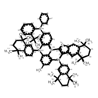 Cc1cc2c3c(c1)N(c1ccc4c(c1)C(C)(C)CCC4(C)C)c1c(oc4cc5c(cc14)C(C)(C)CCC5(C)C)B3c1ccc(N(c3ccccc3)c3ccccc3C(C)(C)C)cc1N2c1ccc2c(c1)C(C)(C)CCC2(C)C